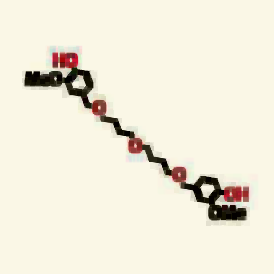 COc1cc(COCCCCOCCCCOCc2ccc(O)c(OC)c2)ccc1O